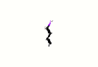 C=CC=CI